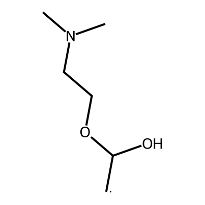 [CH2]C(O)OCCN(C)C